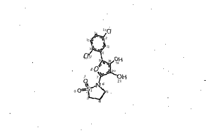 O=S1(=O)CCCN1c1oc(-c2cc(Cl)ccc2Cl)c(O)c1O